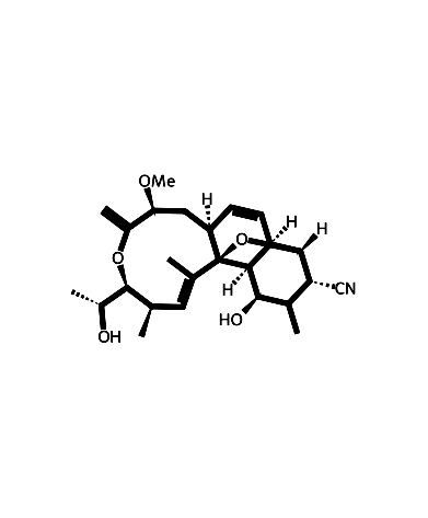 C=C1O[C@H]([C@@H](C)O)[C@H](C)/C=C(\C)[C@]23O[C@@H]4[C@H](C=C[C@@H]2C[C@@H]1OC)[C@H]3[C@H](O)C(C)[C@H]4C#N